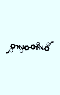 C=CCOc1cccc(/C=N/NC(=O)c2ccc(-c3ccc(C(=O)N/N=C/c4cccc(OCC=C)c4)cc3)cc2)c1